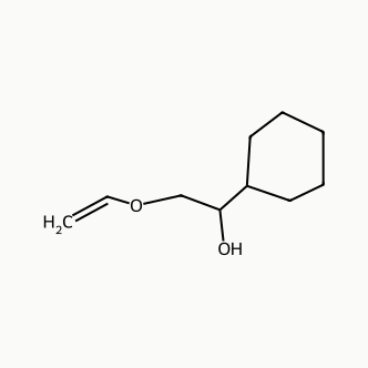 C=COCC(O)C1CCCCC1